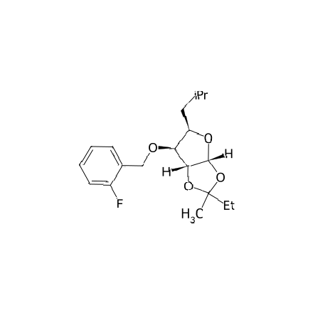 CCC1(C)O[C@H]2O[C@H](CC(C)C)[C@H](OCc3ccccc3F)[C@H]2O1